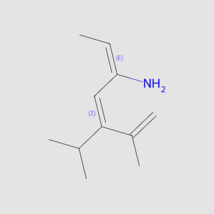 C=C(C)/C(=C\C(N)=C/C)C(C)C